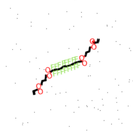 C=CC(=O)OCCCCOC(=O)C(F)(F)C(F)(F)C(F)(F)C(F)(F)C(F)(F)C(F)(F)C(F)(F)C(F)(F)C(=O)OCCCCOC(=O)C=C